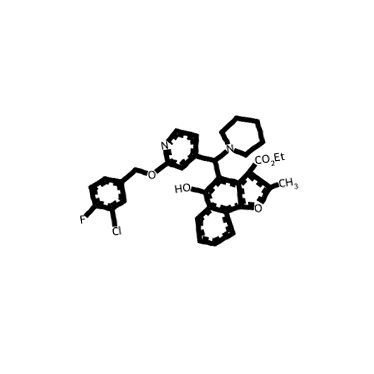 CCOC(=O)c1c(C)oc2c1c(C(c1ccnc(OCc3ccc(F)c(Cl)c3)c1)N1CCCCC1)c(O)c1ccccc12